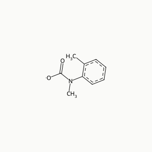 Cc1ccccc1N(C)C([O])=O